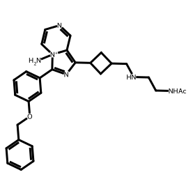 CC(=O)NCCNCC1CC(C2=C3C=NC=C[N+]3(N)C(c3cccc(OCc4ccccc4)c3)=N2)C1